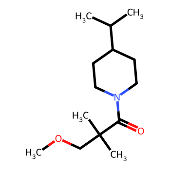 COCC(C)(C)C(=O)N1CCC(C(C)C)CC1